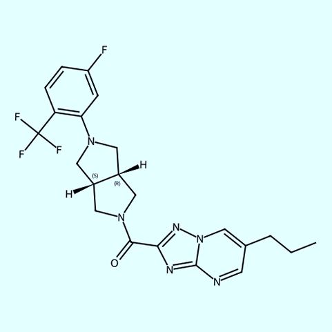 CCCc1cnc2nc(C(=O)N3C[C@@H]4CN(c5cc(F)ccc5C(F)(F)F)C[C@@H]4C3)nn2c1